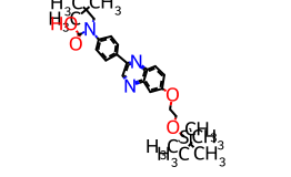 CC(C)(C)CN(C(=O)O)c1ccc(-c2cnc3cc(OCCO[Si](C)(C)C(C)(C)C)ccc3n2)cc1